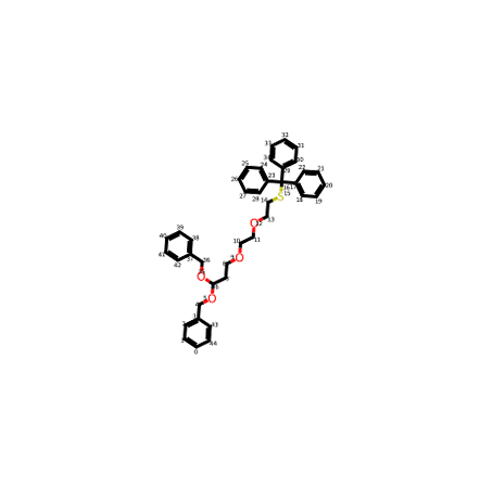 c1ccc(COC(CCOCCOCCSC(c2ccccc2)(c2ccccc2)c2ccccc2)OCc2ccccc2)cc1